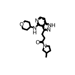 CC1CCN(C(=O)CCc2n[nH]c3ccnc(NC4CCOCC4)c23)C1